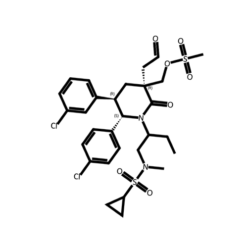 CCC(CN(C)S(=O)(=O)C1CC1)N1C(=O)[C@](CC=O)(COS(C)(=O)=O)C[C@H](c2cccc(Cl)c2)[C@H]1c1ccc(Cl)cc1